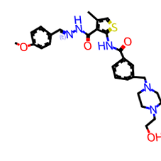 COc1ccc(/C=N/NC(=O)c2c(C)csc2NC(=O)c2cccc(CN3CCN(CCO)CC3)c2)cc1